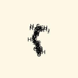 CC1(C)CC(C)(C)C1NC(=O)c1ccc(N2CCC(NC3CCN(c4cc5c(cc4F)C(=O)N(C4CCC(=O)NC4=O)C5=O)CC3)CC2)nn1